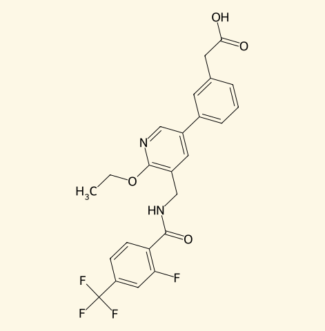 CCOc1ncc(-c2cccc(CC(=O)O)c2)cc1CNC(=O)c1ccc(C(F)(F)F)cc1F